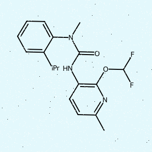 Cc1ccc(NC(=O)N(C)c2ccccc2C(C)C)c(OC(F)F)n1